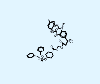 CC[C@@H](CC(=O)OCOC(=O)[C@H]1CC[C@H](OP(=O)(OCc2ccccc2)OCc2ccccc2)CC1)c1ccc(N(CC(C)C)CC(C)C)c(NC(=O)Nc2ccc(C)cc2)c1